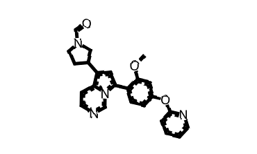 COc1cc(Oc2ccccn2)ccc1-c1cc(C2CCN(C=O)C2)c2ccncn12